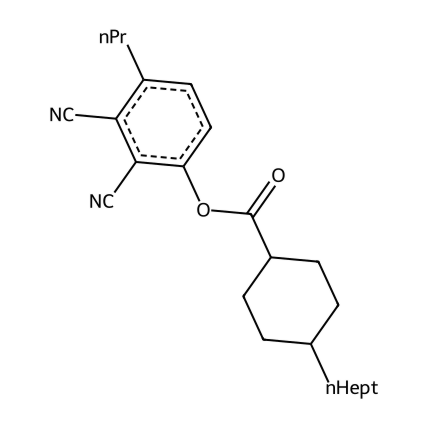 CCCCCCCC1CCC(C(=O)Oc2ccc(CCC)c(C#N)c2C#N)CC1